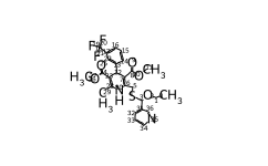 CCOC(SCC1=C(C(=O)OC)C(c2cccc(C(F)(F)F)c2)C(C(=O)OC)=C(C)N1)c1cccnc1